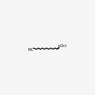 CCCCCCCC/C=C\CCCCCCCCCCCC#N